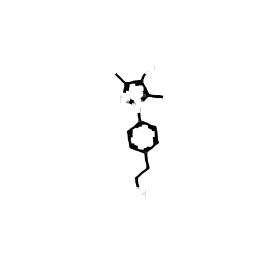 CCc1c(C)nn(-c2ccc(CCO)cc2)c1C